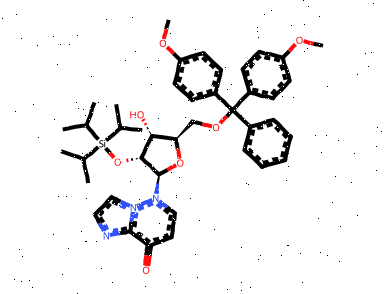 COc1ccc(C(OC[C@H]2O[C@@H](n3ccc(=O)c4nccn43)[C@H](O[Si](C(C)C)(C(C)C)C(C)C)[C@@H]2O)(c2ccccc2)c2ccc(OC)cc2)cc1